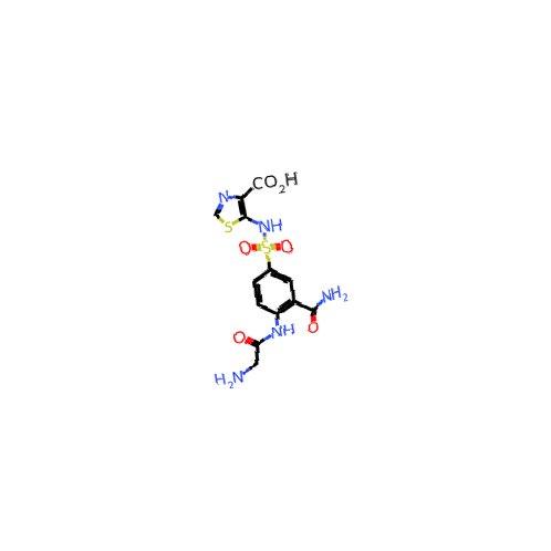 NCC(=O)Nc1ccc(S(=O)(=O)Nc2scnc2C(=O)O)cc1C(N)=O